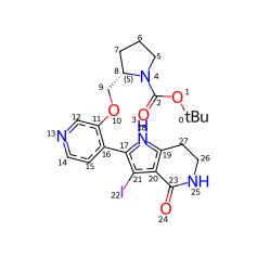 CC(C)(C)OC(=O)N1CCC[C@H]1COc1cnccc1-c1[nH]c2c(c1I)C(=O)NCC2